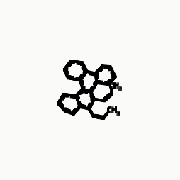 C/C=C\c1c(/C=C\C)c2c3ccccc3c3ccccc3c2c2ccccc12